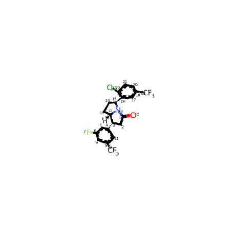 O=C1C[C@H](c2cc(F)cc(C(F)(F)F)c2)[C@@H]2CC[C@@H](c3cc(C(F)(F)F)ccc3Cl)N12